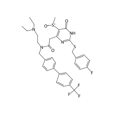 CCN(CC)CCN(Cc1ccc(-c2ccc(C(F)(F)F)cc2)cc1)C(=O)Cc1nc(SCc2ccc(F)cc2)[nH]c(=O)c1[S+](C)[O-]